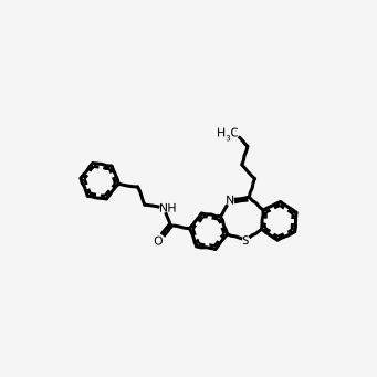 CCCCC1=Nc2cc(C(=O)NCCc3ccccc3)ccc2Sc2ccccc21